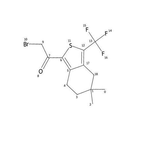 CC1(C)CCc2c(C(=O)CBr)sc(C(F)(F)F)c2C1